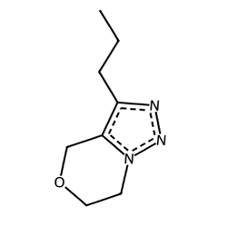 CCCc1nnn2c1COCC2